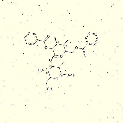 CO[C@H]1OC(CO)[C@H](O)[C@H](O[C@@H]2OC(COC(=O)c3ccccc3)[C@H](C)[C@H](C)C2OC(=O)c2ccccc2)C1C